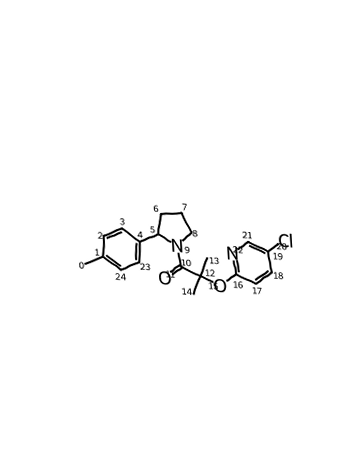 Cc1ccc(C2CCCN2C(=O)C(C)(C)Oc2ccc(Cl)cn2)cc1